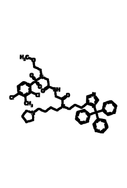 COCCN(CC(=O)NCC(=O)N(CCCCN1CCCC1)CCCc1cncn1C(c1ccccc1)(c1ccccc1)c1ccccc1)S(=O)(=O)c1ccc(Cl)c(C)c1Cl